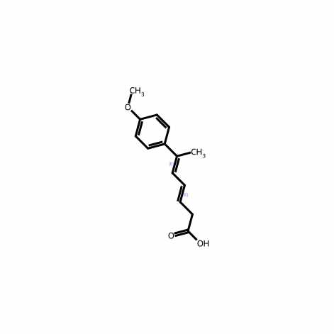 COc1ccc(/C(C)=C/C=C/CC(=O)O)cc1